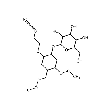 COOCC1CC(OCCN=[N+]=[N-])C(OC2OC(CO)C(O)C(O)C2O)CC1OOC